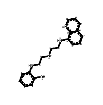 Oc1ccccc1NCCNCCNc1cccc2cccnc12